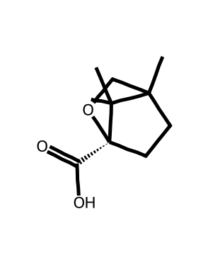 CC12CC[C@@](C(=O)O)(OC1)C2(C)C